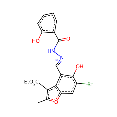 CCOC(=O)c1c(C)oc2cc(Br)c(O)c(/C=N/NC(=O)c3ccccc3O)c12